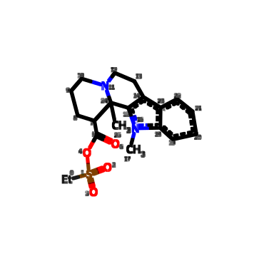 CCS(=O)(=O)OC(=O)C1CCCN2CCc3c(n(C)c4ccccc34)C12C